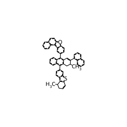 CC1Cc2c(c(-c3ccc4oc5ccc6ccccc6c5c4c3)c3ccccc3c2-c2ccc3c4c(sc3c2)C=CCC4C)C=C1c1cccc2ccccc12